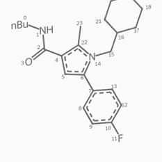 CCCCNC(=O)c1cc(-c2ccc(F)cc2)n(CC2CCCCC2)c1C